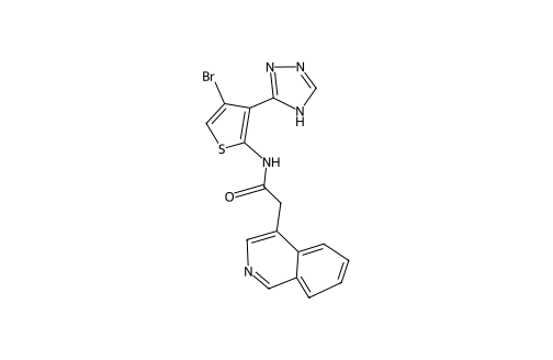 O=C(Cc1cncc2ccccc12)Nc1scc(Br)c1-c1nnc[nH]1